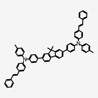 Cc1ccc(N(c2ccc(/C=C/c3ccccc3)cc2)c2ccc(-c3ccc4c(c3)C(C)(C)c3cc(-c5ccc(N(c6ccc(C)cc6)c6ccc(/C=C/c7ccccc7)cc6)cc5)ccc3-4)cc2)cc1